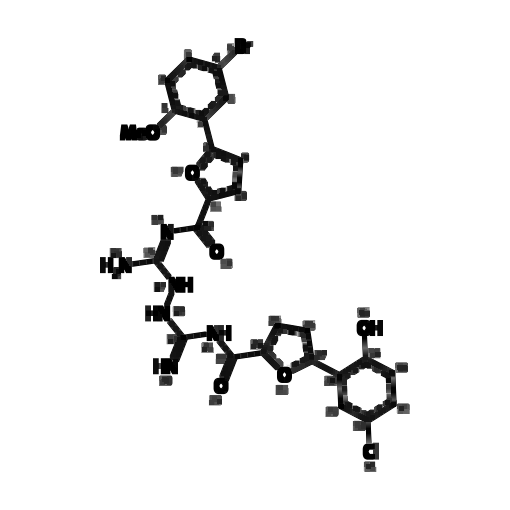 COc1ccc(Br)cc1-c1ccc(C(=O)N=C(N)NNC(=N)NC(=O)c2ccc(-c3cc(Cl)ccc3O)o2)o1